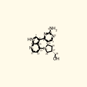 Nc1nccc(-c2c[nH]c3nccc(N4CC[C@H](CO)C4)c23)n1